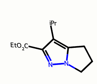 CCOC(=O)c1nn2c(c1C(C)C)CCC2